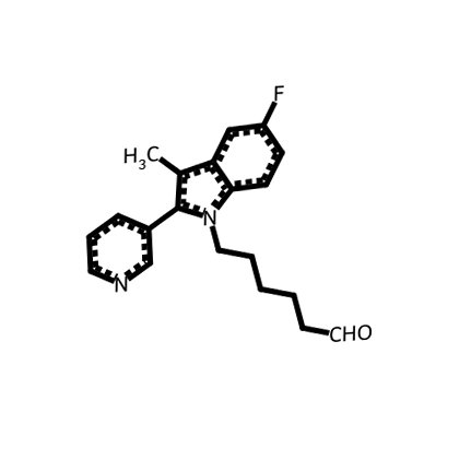 Cc1c(-c2cccnc2)n(CCCCCC=O)c2ccc(F)cc12